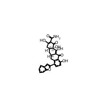 NC(=O)C1=C(O)C[C@@H]2C[C@@H]3Cc4c(-c5cc6ccccc6o5)ccc(O)c4C(=O)C3=C(O)[C@]2(O)C1=O